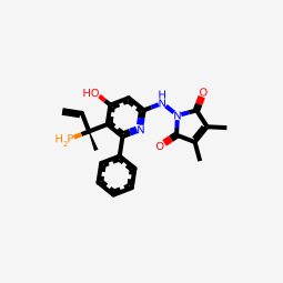 C=C[C@@](C)(P)c1c(O)cc(NN2C(=O)C(C)=C(C)C2=O)nc1-c1ccccc1